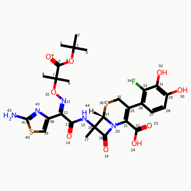 CC(C)(C)OC(=O)C(C)(C)ON=C(C(=O)NC1(C)C(=O)N2C(C(=O)O)=C(c3ccc(O)c(O)c3F)CS[C@H]21)c1csc(N)n1